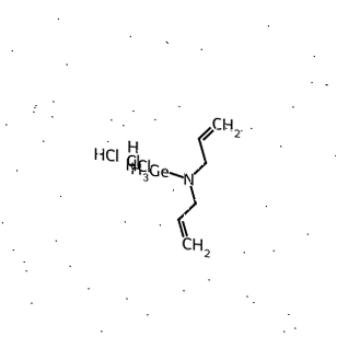 C=CC[N]([GeH3])CC=C.Cl.Cl.Cl